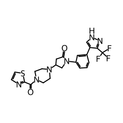 O=C(c1nccs1)N1CCN(C2CC(=O)N(c3cccc(-c4c[nH]nc4C(F)(F)F)c3)C2)CC1